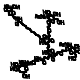 CC(=O)NC1C(OCCOCCNC(=O)CCC(NC(=O)CCC(NC(=O)CCCCCCCCCCC(=O)NCC2CC(OC(C)(C)C)C(CO)O2)C(=O)NCCOCCOC2OC(CO)C(O)C(O)C2NC(C)=O)C(=O)NCCOCCOC2OC(CO)C(O)C(O)C2NC(C)=O)OCC(O)CC(O)C1O